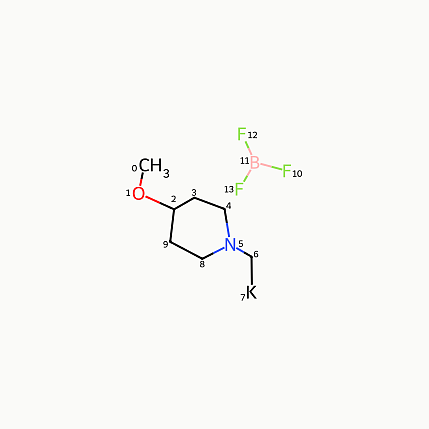 COC1CCN([CH2][K])CC1.FB(F)F